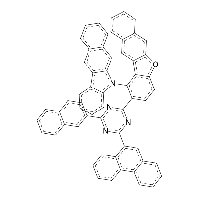 c1ccc2cc(-c3nc(-c4ccc5oc6cc7ccccc7cc6c5c4-n4c5ccccc5c5cc6ccccc6cc54)nc(-c4cc5ccccc5c5ccccc45)n3)ccc2c1